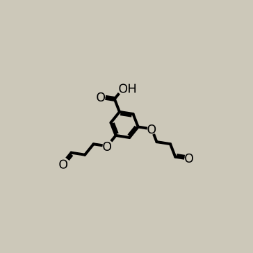 O=CCCOc1cc(OCCC=O)cc(C(=O)O)c1